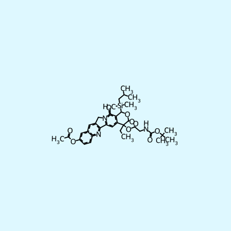 CCC1(OC(=O)CNC(=O)OC(C)(C)C)C(=O)OC([Si](C)(C)CC(C)C)c2c1cc1n(c2=O)Cc2cc3cc(OC(C)=O)ccc3nc2-1